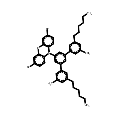 CCCCCCc1cc(C)cc(-c2cc(-c3cc(C)cc(CCCCCC)c3)cc(N3c4ccc(Br)cc4Oc4cc(Br)ccc43)c2)c1